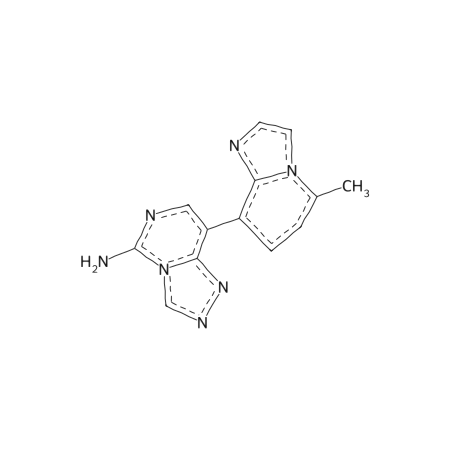 Cc1ccc(-c2cnc(N)n3cnnc23)c2nccn12